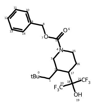 CC(C)(C)CC1CN(C(=O)OCc2ccccc2)CCC1C(O)(C(F)(F)F)C(F)(F)F